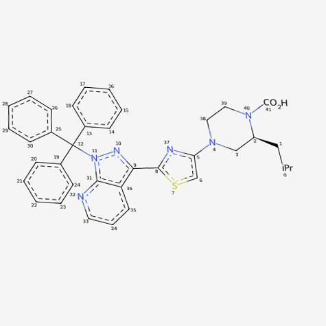 CC(C)C[C@H]1CN(c2csc(-c3nn(C(c4ccccc4)(c4ccccc4)c4ccccc4)c4ncccc34)n2)CCN1C(=O)O